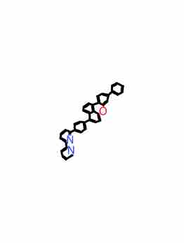 c1ccc(-c2ccc3c(c2)Oc2ccc(-c4ccc(-c5cccc(-c6ccccn6)n5)cc4)c4cccc-3c24)cc1